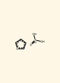 O=[PH](O)O.c1ccoc1